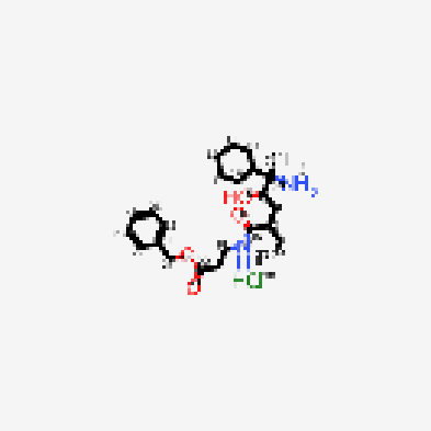 CC(C)CC(CC(O)C(C)(N)C1CCCCC1)C(=O)NCCC(=O)OCc1ccccc1.Cl